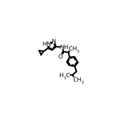 CC(C)Cc1ccc(C(C)C(=O)Nc2cc(C3CC3)[nH]n2)cc1